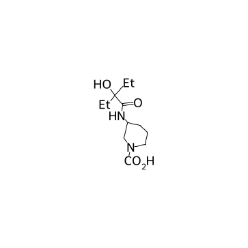 CCC(O)(CC)C(=O)NC1CCCN(C(=O)O)C1